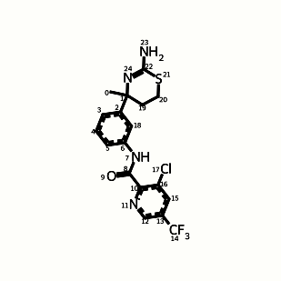 CC1(c2cccc(NC(=O)c3ncc(C(F)(F)F)cc3Cl)c2)CCSC(N)=N1